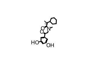 C[C@H](C(=O)N(C)CC(=O)c1cc(O)cc(O)c1)C1CCCCC1